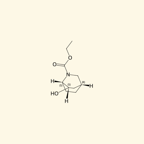 CCOC(=O)N1C[C@@H]2CC[C@H]1[C@@H](O)C2